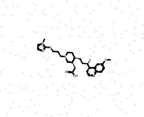 COc1ccc2nccc([C@H](F)CC[C@@H]3CCN(CCCSc4nccn4C)C[C@@H]3CC(=O)O)c2c1